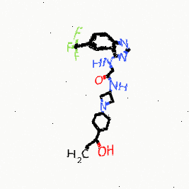 C=CC(O)C1CCC(N2CC(NC(=O)CNc3ncnc4ccc(C(F)(F)F)cc34)C2)CC1